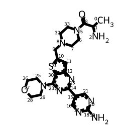 CC(N)C(=O)N1CCN(Cc2cc3nc(-c4cnc(N)nc4)nc(N4CCOCC4)c3s2)CC1